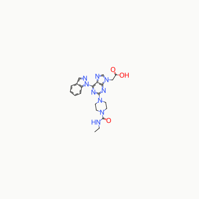 CCNC(=O)N1CCN(c2nc(-n3ncc4ccccc43)c3ncn(CC(=O)O)c3n2)CC1